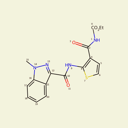 CCOC(=O)NC(=O)c1ccsc1NC(=O)c1nn(C)c2ccccc12